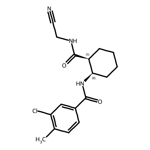 Cc1ccc(C(=O)N[C@@H]2CCCC[C@@H]2C(=O)NCC#N)cc1Cl